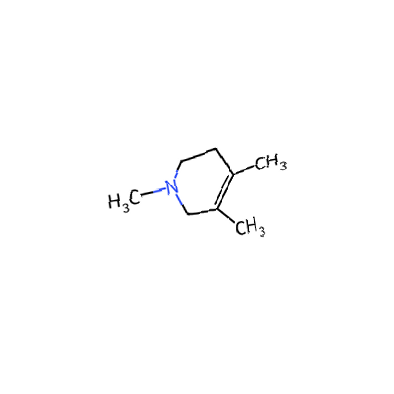 CC1=C(C)CN(C)CC1